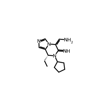 CC[C@@H]1c2cncn2/C(=C/N)C(=N)N1C1CCCC1